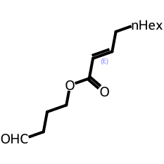 CCCCCCC/C=C/C(=O)OCCCC=O